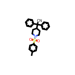 Cc1ccc(S(=O)(=O)N2CCC(C(C#N)(c3ccccc3)c3ccccc3)CC2)cc1